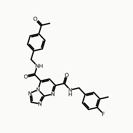 CC(=O)c1ccc(CNC(=O)c2cc(C(=O)NCc3ccc(F)c(C)c3)nc3ncnn23)cc1